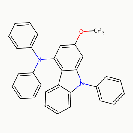 COc1cc(N(c2ccccc2)c2ccccc2)c2c3ccccc3n(-c3ccccc3)c2c1